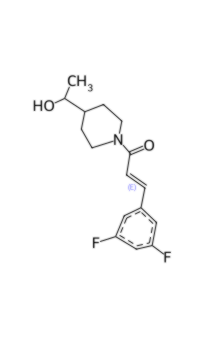 CC(O)C1CCN(C(=O)/C=C/c2cc(F)cc(F)c2)CC1